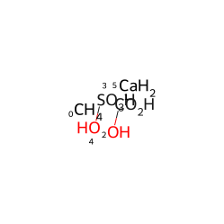 C.O=C(O)O.O=S(=O)(O)O.[CaH2]